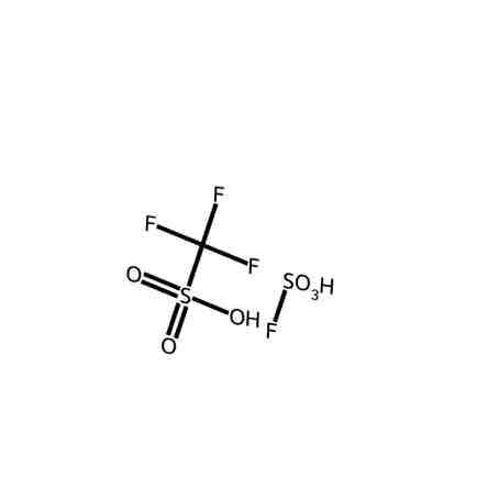 O=S(=O)(O)C(F)(F)F.O=S(=O)(O)F